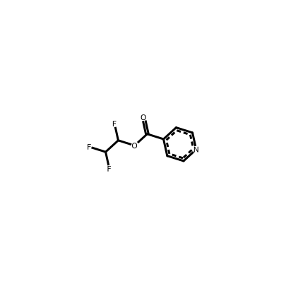 O=C(OC(F)C(F)F)c1ccncc1